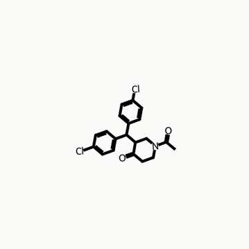 CC(=O)N1CCC(=O)C(C(c2ccc(Cl)cc2)c2ccc(Cl)cc2)C1